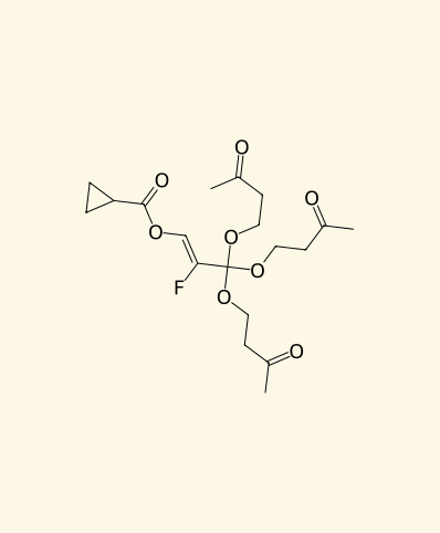 CC(=O)CCOC(OCCC(C)=O)(OCCC(C)=O)C(F)=COC(=O)C1CC1